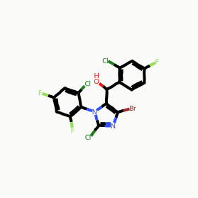 OC(c1ccc(F)cc1Cl)c1c(Br)nc(Cl)n1-c1c(F)cc(F)cc1Cl